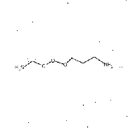 NCCCOOOC[SiH3]